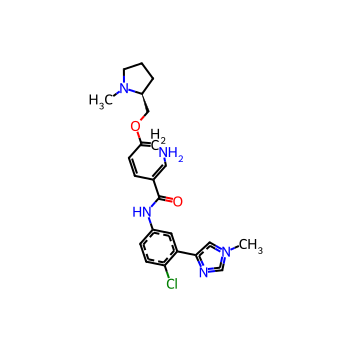 C=C(/C=C\C(=C/N)C(=O)Nc1ccc(Cl)c(-c2cn(C)cn2)c1)OC[C@@H]1CCCN1C